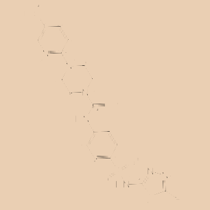 CCc1nnc(NS(=O)(=O)c2ccc(NC(=S)N3CCN(c4ccc(C(F)(F)F)cn4)CC3)cc2)s1